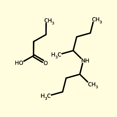 CCCC(=O)O.CCCC(C)NC(C)CCC